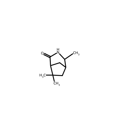 CC1NC(=O)C2CC1CC2(C)C